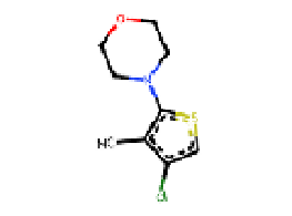 N#Cc1c(Cl)csc1N1CCOCC1